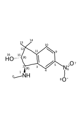 CN[C@@H]1c2cc([N+](=O)[O-])ccc2C(C)(C)[C@H]1O